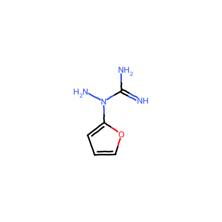 N=C(N)N(N)c1ccco1